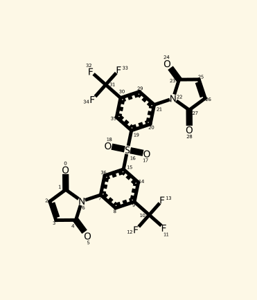 O=C1C=CC(=O)N1c1cc(C(F)(F)F)cc(S(=O)(=O)c2cc(N3C(=O)C=CC3=O)cc(C(F)(F)F)c2)c1